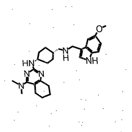 COc1ccc2[nH]cc(CNC[C@H]3CC[C@@H](Nc4nc5c(c(N(C)C)n4)CCCC5)CC3)c2c1